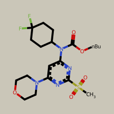 CCCCOC(=O)N(c1cc(N2CCOCC2)nc(S(C)(=O)=O)n1)C1CCC(F)(F)CC1